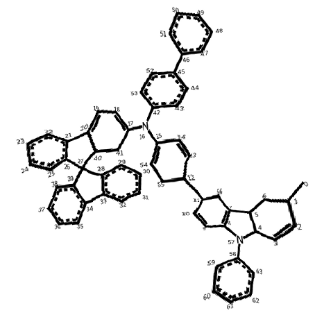 CC1C=CC2C(C1)C1=C(C=CC(C3C=CC(N(C4=CC=C5c6ccccc6C6(c7ccccc7-c7ccccc76)C5C4)c4ccc(-c5ccccc5)cc4)=CC3)C1)N2c1ccccc1